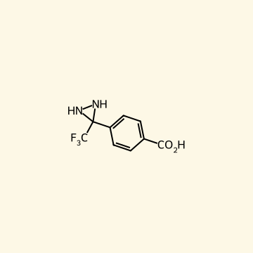 O=C(O)c1ccc(C2(C(F)(F)F)NN2)cc1